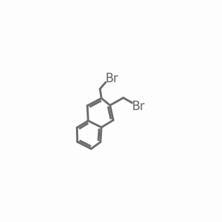 BrCc1cc2ccccc2cc1CBr